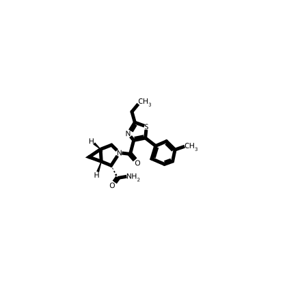 CCc1nc(C(=O)N2C[C@H]3C[C@H]3[C@H]2C(N)=O)c(-c2cccc(C)c2)s1